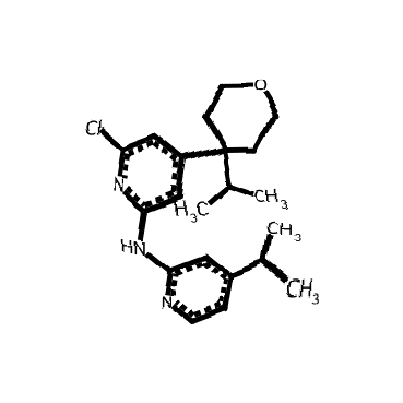 CC(C)c1ccnc(Nc2cc(C3(C(C)C)CCOCC3)cc(Cl)n2)c1